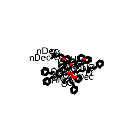 CCCCCCCCCCCC(=O)O[C@H](CCCCCCCCCCC)CC(=O)N[C@H]1[C@H](OC[C@H]2O[C@@H](OCCCCCCNC(=O)OCc3ccccc3)[C@H](NC(=O)C[C@@H](CCCCCCCCCCC)OCc3ccccc3)[C@@H](OCc3ccccc3)[C@@H]2OCc2ccccc2)O[C@H](COCc2ccccc2)[C@@H](OP(=O)(OCc2ccccc2)OCc2ccccc2)[C@@H]1OCc1ccccc1